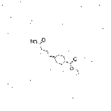 CCOC(=O)C1CCC(=CCCC(=O)O)CC1